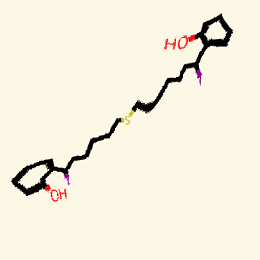 Oc1ccccc1C(I)CCCCCSCCCCCC(I)c1ccccc1O